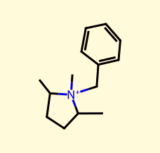 CC1CCC(C)[N+]1(C)Cc1ccccc1